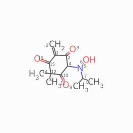 C=C1C(=O)C(N(O)C(C)C)C(=O)C(C)(C)C1=O